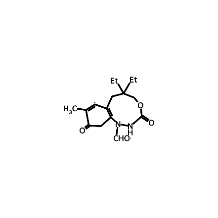 CCC1(CC)COC(=O)NN([C]=O)C2=C([C]=C(C)C(=O)C2)C1